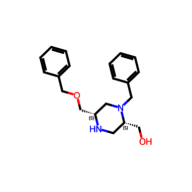 OC[C@@H]1CN[C@H](COCc2ccccc2)CN1Cc1ccccc1